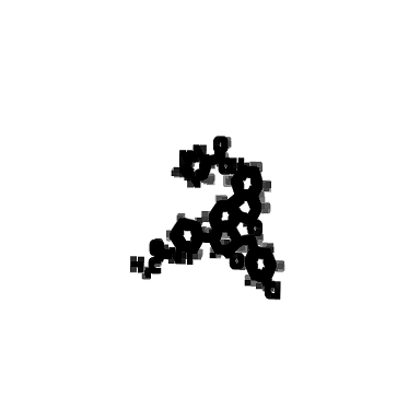 CC(=O)Nc1cccc(C2=c3ccc4c(c3C(Cc3ccc(Cl)cc3)C(=O)C2)C(=O)C=c2ccccc2=4)c1.O=C(O)c1cncnn1